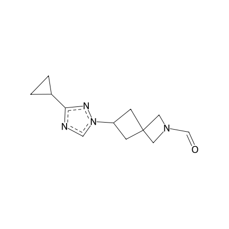 O=CN1CC2(CC(n3cnc(C4CC4)n3)C2)C1